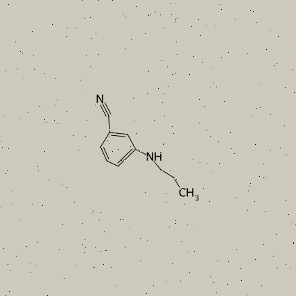 CCCNc1cccc(C#N)c1